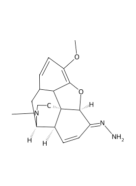 COC1=C2O[C@H]3C(=NN)C=C[C@H]4[C@H]5CC(C=C1)C2[C@@]34CCN5C